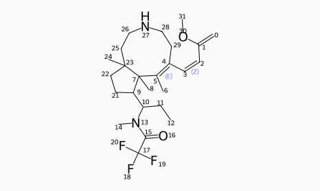 C=C(/C=C\C1=C(/C)C2(C)C(C(CC)N(C)C(=O)C(F)(F)F)CCC2(C)CCNCC1)OC